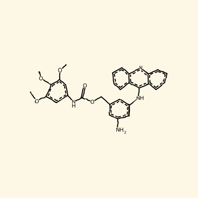 COc1cc(NC(=O)OCc2cc(N)cc(Nc3c4ccccc4nc4ccccc34)c2)cc(OC)c1OC